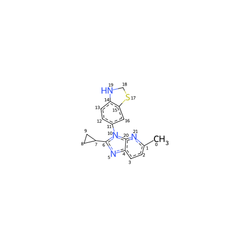 Cc1ccc2nc(C3CC3)n(-c3ccc4c(c3)SCN4)c2n1